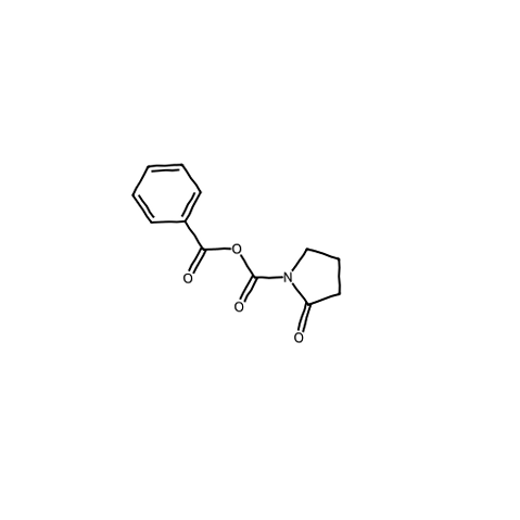 O=C(OC(=O)N1CCCC1=O)c1ccccc1